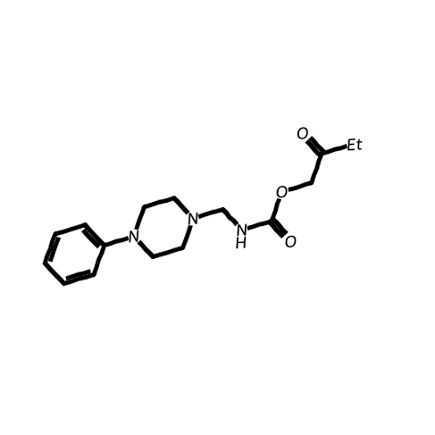 CCC(=O)COC(=O)NCN1CCN(c2ccccc2)CC1